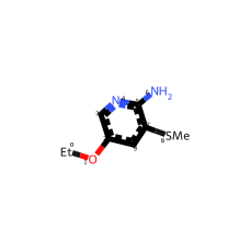 CCOc1cnc(N)c(SC)c1